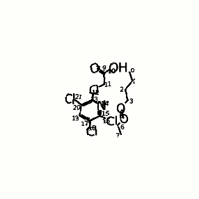 CCCCOOCC.O=C(O)COc1nc(Cl)c(Cl)cc1Cl